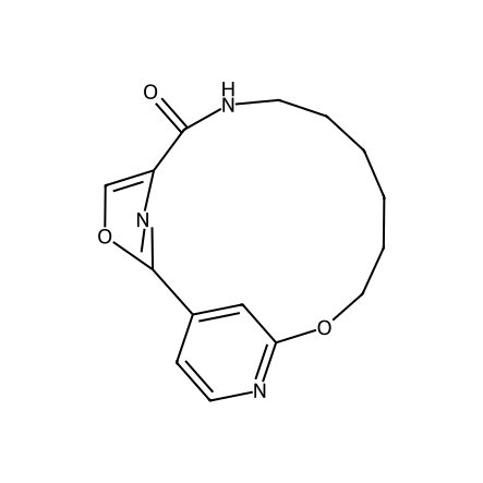 O=C1NCCCCCCOc2cc(ccn2)-c2nc1co2